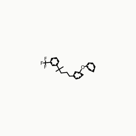 CC(C)(CCCc1cccc(Oc2ccccc2)c1)c1cccc(C(F)(F)F)c1